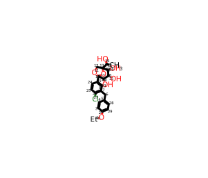 CCOc1ccc(Cc2cc(C34OCC(C(C)O)(O3)[C@H](O)[C@H](O)[C@H]4O)ccc2Cl)cc1